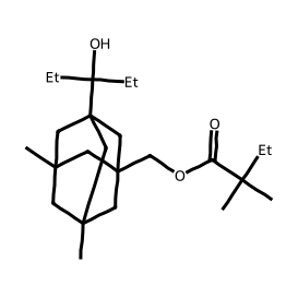 CCC(C)(C)C(=O)OCC12CC3(C)CC(C)(C1)CC(C(O)(CC)CC)(C3)C2